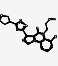 COCCn1c(=O)c2c(-c3nc(C4CCOC4)no3)ncn2c2cccc(Cl)c21